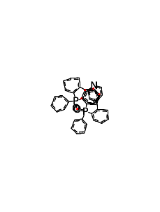 O=P(c1ccccc1)(c1ccccc1)c1ccccc1-c1ccnc(-c2ccccc2P(=O)(c2ccccc2)c2ccccc2)c1